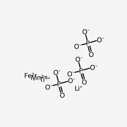 O=P([O-])([O-])[O-].O=P([O-])([O-])[O-].O=P([O-])([O-])[O-].[Fe+2].[Li+].[Mn+2].[Ti+4]